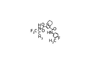 Cc1cc(NC(=O)c2cc(C(=O)C(=O)N[C@H](C)C(F)(F)F)n3c2CCCC3)ccc1F